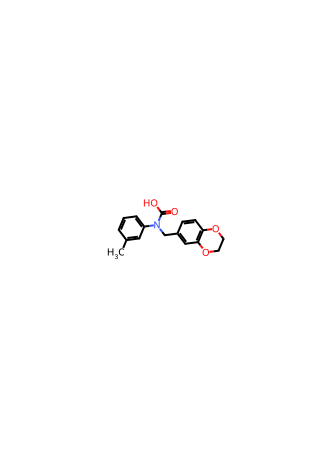 Cc1cccc(N(Cc2ccc3c(c2)OCCO3)C(=O)O)c1